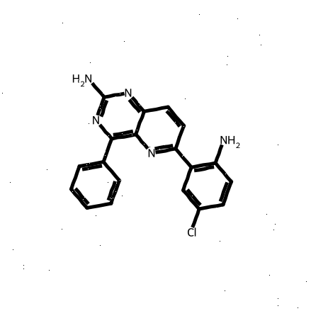 Nc1nc(-c2ccccc2)c2nc(-c3cc(Cl)ccc3N)ccc2n1